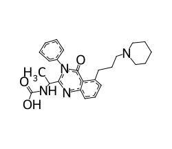 CC(NC(=O)O)c1nc2cccc(CCCN3CCCCC3)c2c(=O)n1-c1ccccc1